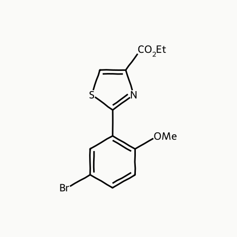 CCOC(=O)c1csc(-c2cc(Br)ccc2OC)n1